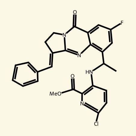 COC(=O)c1nc(Cl)ccc1NC(C)c1cc(F)cc2c(=O)n3c(nc12)C(=Cc1ccccc1)CC3